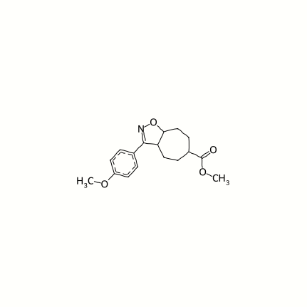 COC(=O)C1CCC2ON=C(c3ccc(OC)cc3)C2CC1